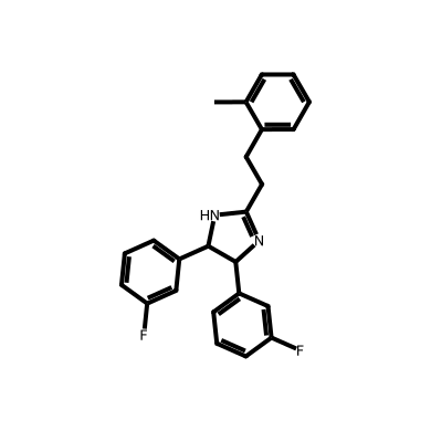 Cc1ccccc1CCC1=NC(c2cccc(F)c2)C(c2cccc(F)c2)N1